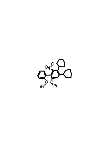 CC(C)Oc1ccccc1-c1c(OC(C)C)cc(C2CCCCC2)c(C2CCCCC2)c1P(=O)=O